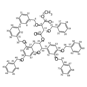 COC(=O)[C@H](OCc1ccccc1)[C@H](OCc1ccccc1)C(=O)OC1Cc2c(OCc3ccccc3)cc(OCc3ccccc3)cc2OC1c1ccc(OCc2ccccc2)c(OCc2ccccc2)c1